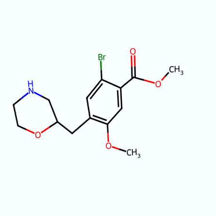 COC(=O)c1cc(OC)c(CC2CNCCO2)cc1Br